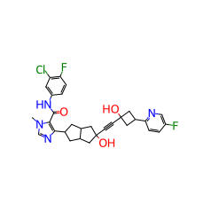 Cn1cnc(C2CC3CC(O)(C#CC4(O)CC(c5ccc(F)cn5)C4)CC3C2)c1C(=O)Nc1ccc(F)c(Cl)c1